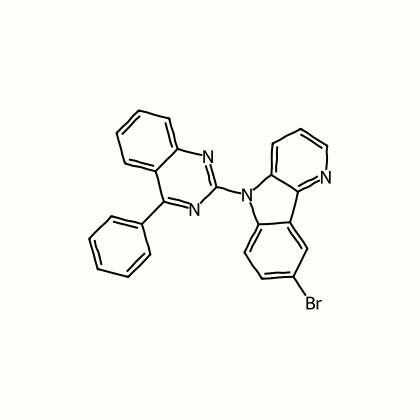 Brc1ccc2c(c1)c1ncccc1n2-c1nc(-c2ccccc2)c2ccccc2n1